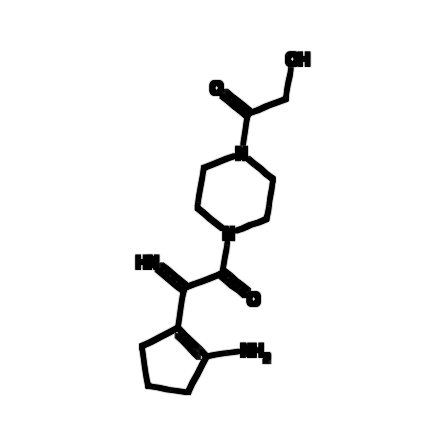 N=C(C(=O)N1CCN(C(=O)CO)CC1)C1=C(N)CCC1